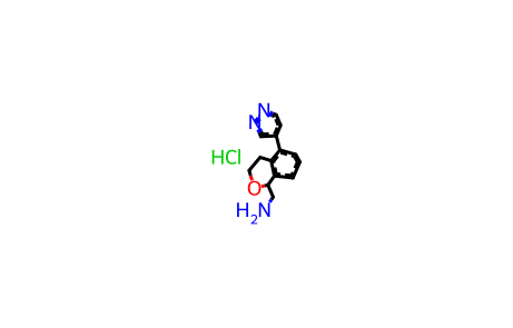 Cl.NCC1OCCc2c(-c3ccnnc3)cccc21